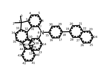 CC1(C)c2cccc(N(c3ccccc3)c3ccc(-c4ccc5ccccc5c4)cc3)c2-c2c1ccc1c2sc2ccccc21